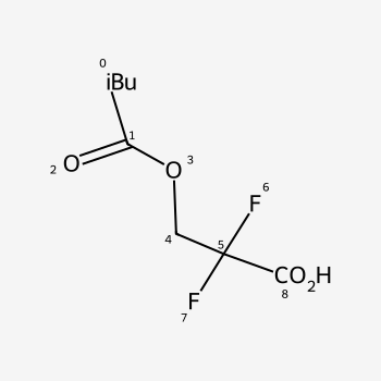 CCC(C)C(=O)OCC(F)(F)C(=O)O